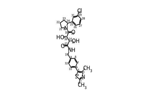 Cc1nc(C)c(-c2ccc(CNC(=O)[C@H](O)[C@@H](O)C(=O)N3CCCC3c3cccc(Cl)c3)cc2)s1